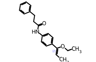 C/C=C(\OCC)c1ccc(NC(=O)CCc2ccccc2)cc1